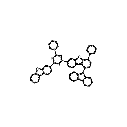 c1ccc(-c2nc(-c3ccc4c(c3)oc3ccccc34)nc(-c3ccc4c(c3)oc3c(-c5ccccc5)ccc(-n5c6ccccc6c6ccccc65)c34)n2)cc1